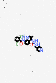 Cc1cnc2c(NC(=O)c3c(Cl)cccc3Cl)cccc2c1NC(=O)NCc1ccncc1